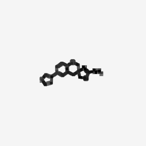 NC1=NC2(CO1)COc1ccc(-c3ccsc3)cc1C2